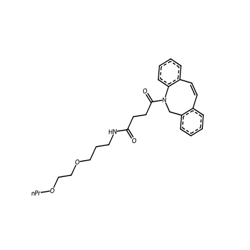 CCCOCCOCCCNC(=O)CCC(=O)N1Cc2ccccc2/C=C\c2ccccc21